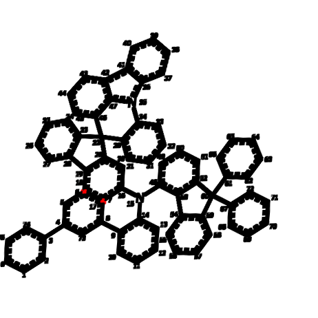 c1ccc(-c2cccc(-c3ccccc3N(c3ccc4c(c3)C3(c5ccccc5-4)c4ccccc4-n4c5ccccc5c5cccc3c54)c3cccc4c3-c3ccccc3C4(c3ccccc3)c3ccccc3)c2)cc1